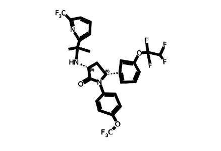 CC(C)(N[C@@H]1C[C@H](c2cccc(OC(F)(F)C(F)F)c2)N(c2ccc(OC(F)(F)F)cc2)C1=O)c1cccc(C(F)(F)F)n1